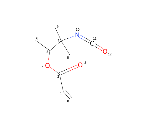 C=CC(=O)OC(C)C(C)(C)N=C=O